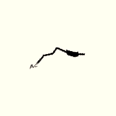 CC#CCCCC(C)=O